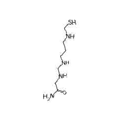 NC(=O)CNCNCCCNCS